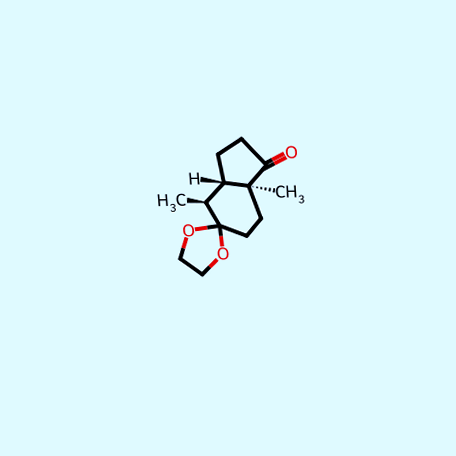 C[C@H]1[C@@H]2CCC(=O)[C@@]2(C)CCC12OCCO2